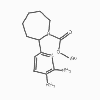 CC(C)(C)OC(=O)N1CCCCCC1c1ccc(N)c(N)n1